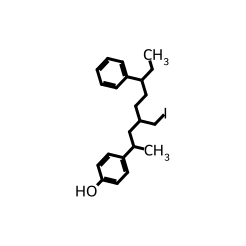 CCC(CCC(CI)CC(C)c1ccc(O)cc1)c1ccccc1